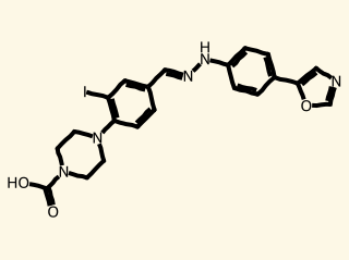 O=C(O)N1CCN(c2ccc(/C=N/Nc3ccc(-c4cnco4)cc3)cc2I)CC1